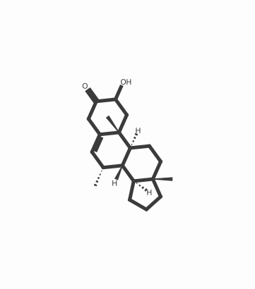 C[C@@H]1C=C2CC(=O)C(O)C[C@]2(C)[C@H]2CC[C@]3(C)CCC[C@H]3[C@H]12